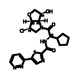 O=C(N[C@H](C(=O)N1C[C@H](Cl)[C@H]2OC[C@H](O)[C@H]21)C1CCCC1)c1ncc(-c2cccnn2)s1